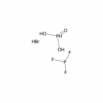 Br.FP(F)F.O=[PH](O)O